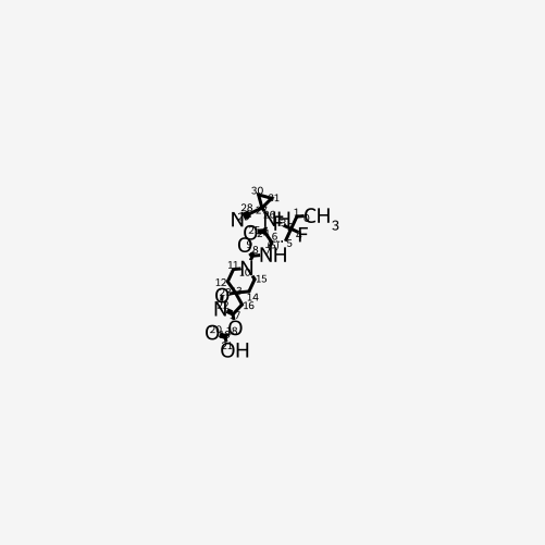 CCC(F)(F)C[C@H](NC(=O)N1CCC2(CC1)CC(OC(=O)O)=NO2)C(=O)NC1(C#N)CC1